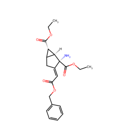 CCOC(=O)[C@H]1C2CC(=CC(=O)OCc3ccccc3)[C@](N)(C(=O)OCC)[C@@H]21